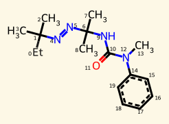 CCC(C)(C)N=NC(C)(C)NC(=O)N(C)c1ccccc1